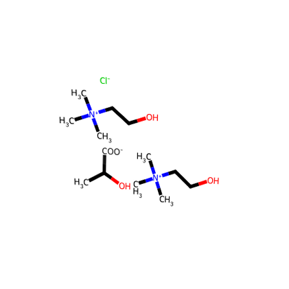 CC(O)C(=O)[O-].C[N+](C)(C)CCO.C[N+](C)(C)CCO.[Cl-]